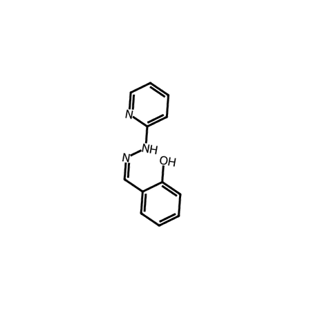 Oc1ccccc1/C=N\Nc1ccccn1